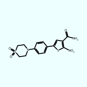 NC(=O)c1cc(-c2ccc(N3CCS(=O)(=O)CC3)cc2)sc1[N+](=O)[O-]